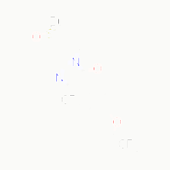 CC[S@+]([O-])c1ccn2c(=O)c(-c3ccc(OCC(F)(F)F)cc3)c(C(F)(F)F)nc2c1